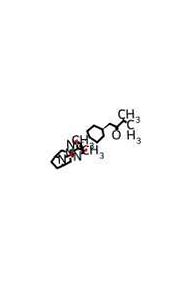 CC(C)C(=O)C[C@H]1CC[C@H](c2cnc(N3C4CCC3CN(C(C)C)C4)nc2)CC1